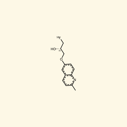 Cc1ccc2cc(OC[C@H](O)C[18F])ccc2n1